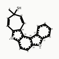 CC1(S)C=Cc2oc3ccc4oc5ccccc5c4c3c2C=C1